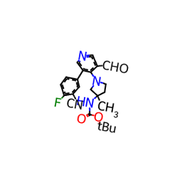 CC1(NC(=O)OC(C)(C)C)CCN(c2c(C=O)cncc2-c2ccc(F)c(C#N)c2)C1